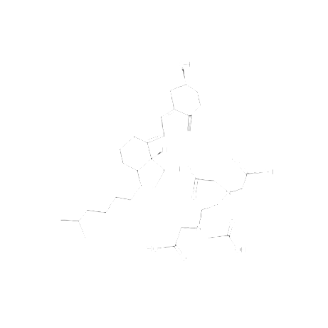 C=C1CC[C@H](O)C/C1=C/C=C1\CCC[C@]2(C)[C@@H]([C@H](C)CCCC(C)C)CC[C@@H]12.O=C(O)CN(CCN(CC(=O)O)CC(=O)O)CC(=O)O